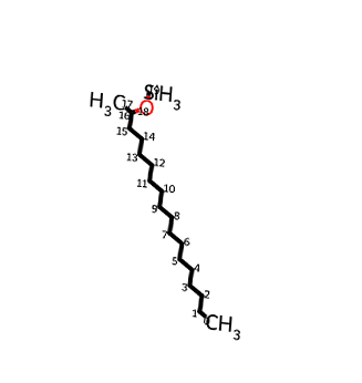 CCCCCCCCCCCCCCCCC(C)O[SiH3]